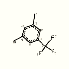 Cc1[c]c(C(F)(F)F)cc(C)c1